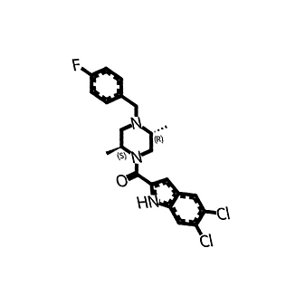 C[C@@H]1CN(C(=O)c2cc3cc(Cl)c(Cl)cc3[nH]2)[C@@H](C)CN1Cc1ccc(F)cc1